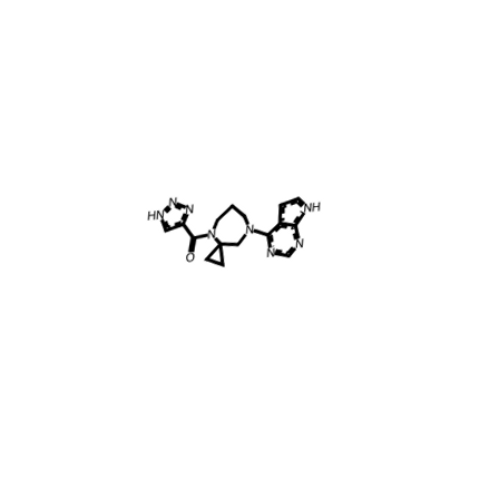 O=C(c1c[nH]nn1)N1CCCN(c2ncnc3[nH]ccc23)CC12CC2